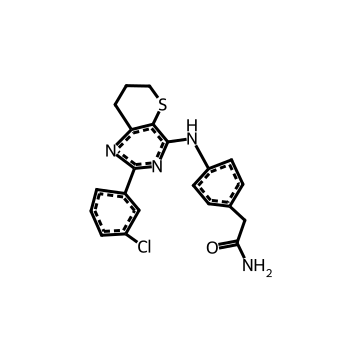 NC(=O)Cc1ccc(Nc2nc(-c3cccc(Cl)c3)nc3c2SCCC3)cc1